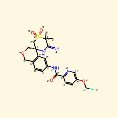 CC1(C)C(=N)N[C@@]2(COCc3ccc(NC(=O)c4ccc(OCF)cn4)cc32)CS1(=O)=O